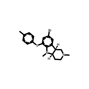 Cc1ccc(Sc2cc(Br)cc3c2N(C)[C@H]2CCN(C)C[C@@H]32)cc1